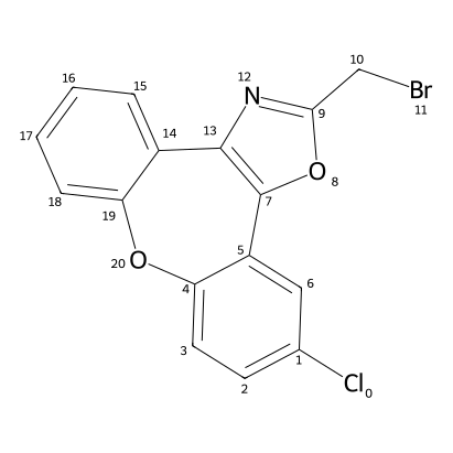 Clc1ccc2c(c1)-c1oc(CBr)nc1-c1ccccc1O2